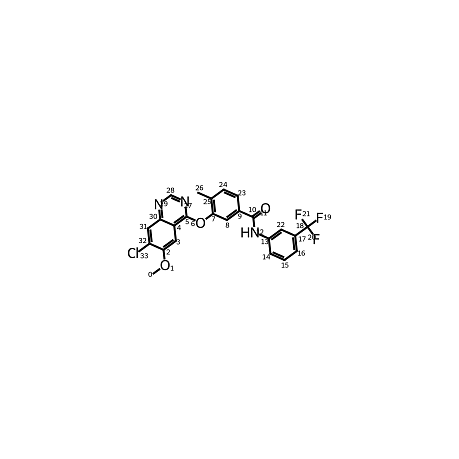 COc1cc2c(Oc3cc(C(=O)Nc4cccc(C(F)(F)F)c4)ccc3C)ncnc2cc1Cl